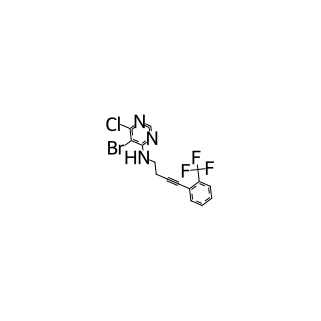 FC(F)(F)c1ccccc1C#CCCNc1ncnc(Cl)c1Br